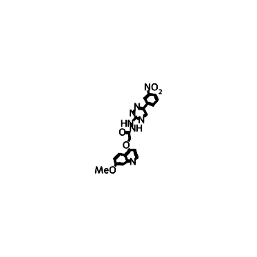 COc1ccc2c(OCC(=O)NNc3ncc(-c4cccc([N+](=O)[O-])c4)nn3)ccnc2c1